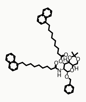 CC1(C)OC[C@H]2O[C@@H](OCc3ccccc3)[C@H](NC(=O)CCCCCCCCc3cccc4ccccc34)[C@@H](OC(=O)CCCCCCCCc3cccc4ccccc34)[C@@H]2O1